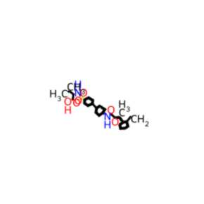 C=Cc1cccc2oc(C(=O)Nc3ccc(-c4ccc(S(=O)(=O)N[C@H](C(=O)O)C(C)C)cc4)cc3)c(C)c12